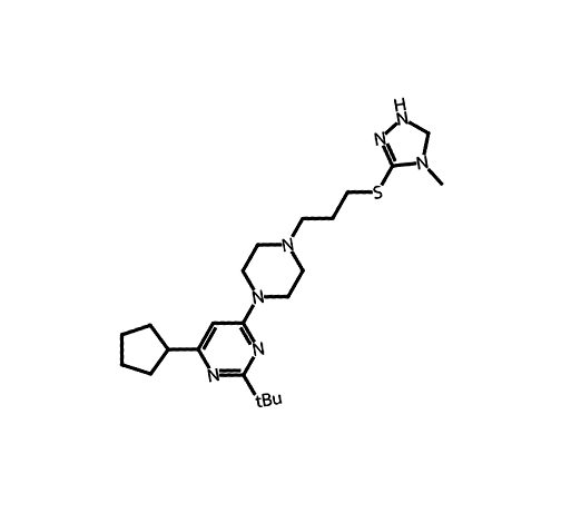 CN1CNN=C1SCCCN1CCN(c2cc(C3CCCC3)nc(C(C)(C)C)n2)CC1